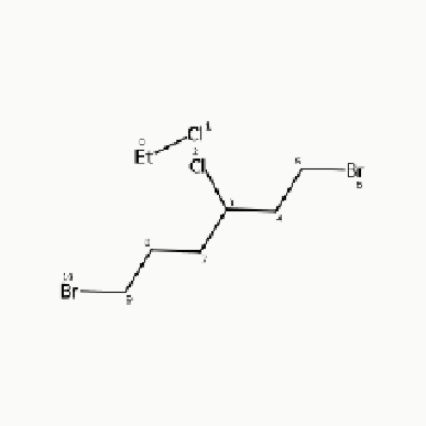 CCCl.ClC(CCBr)CCCBr